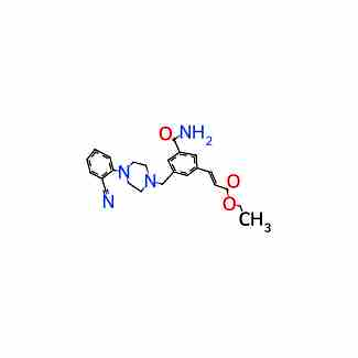 CCOC(=O)C=Cc1cc(CN2CCN(c3ccccc3C#N)CC2)cc(C(N)=O)c1